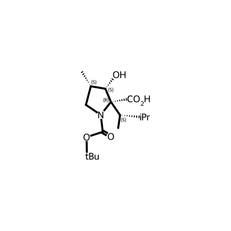 CC(C)[C@H](C)[C@]1(C(=O)O)[C@@H](O)[C@@H](C)CN1C(=O)OC(C)(C)C